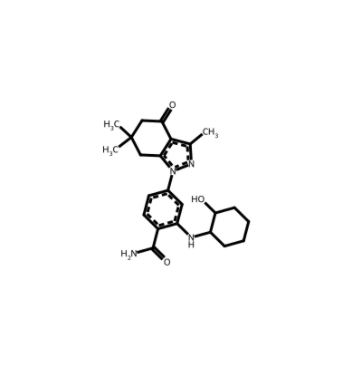 Cc1nn(-c2ccc(C(N)=O)c(NC3CCCCC3O)c2)c2c1C(=O)CC(C)(C)C2